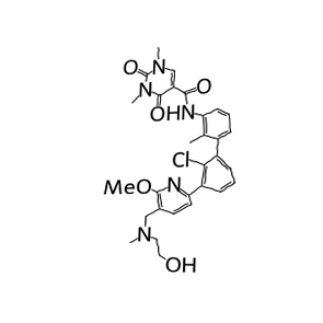 COc1nc(-c2cccc(-c3cccc(NC(=O)c4cn(C)c(=O)n(C)c4=O)c3C)c2Cl)ccc1CN(C)CCO